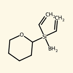 B[Si](C=C)(C=C)C1CCCCO1